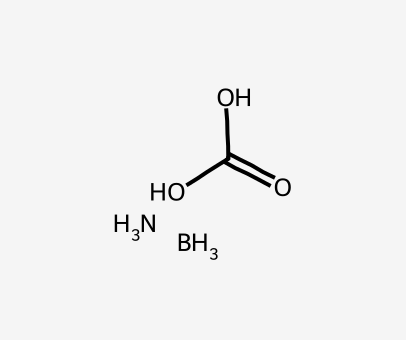 B.N.O=C(O)O